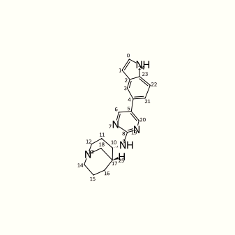 c1cc2cc(-c3cnc(N[C@H]4CCN5CCC[C@@H]4C5)nc3)ccc2[nH]1